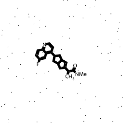 CNC(=O)C(C)C1=CC2CC(c3ccnc4ccc(F)cc34)CC2C1